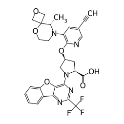 C#Cc1cnc(O[C@H]2C[C@@H](C(=O)O)N(c3nc(C(F)(F)F)nc4c3oc3ccccc34)C2)c(N2CCOC3(COC3)[C@@H]2C)c1